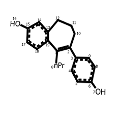 CCCC1=C(c2ccc(O)cc2)CCCc2cc(O)ccc21